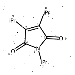 CC(C)C1=C(C(C)C)C(=O)N(C(C)C)C1=O